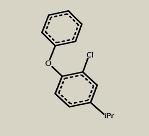 CC(C)c1ccc(Oc2ccccc2)c(Cl)c1